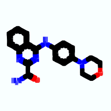 NC(=O)c1nc(Nc2ccc(N3CCOCC3)cc2)c2c[c]ccc2n1